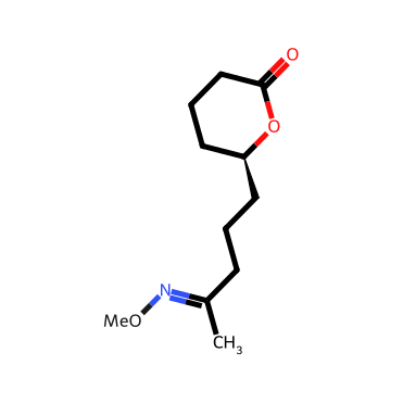 CON=C(C)CCC[C@H]1CCCC(=O)O1